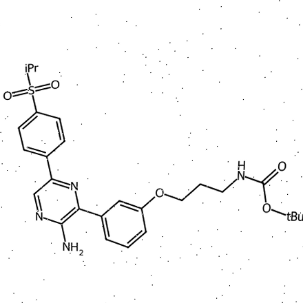 CC(C)S(=O)(=O)c1ccc(-c2cnc(N)c(-c3cccc(OCCCNC(=O)OC(C)(C)C)c3)n2)cc1